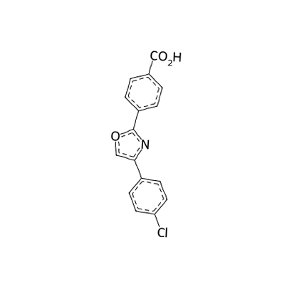 O=C(O)c1ccc(-c2nc(-c3ccc(Cl)cc3)co2)cc1